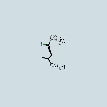 CCOC(=O)/C(F)=C/C(C)C(=O)OCC